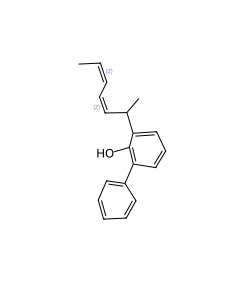 C/C=C\C=C/C(C)c1cccc(-c2ccccc2)c1O